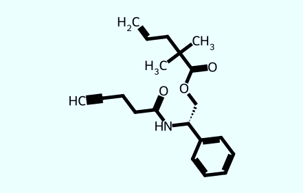 C#CCCC(=O)N[C@H](COC(=O)C(C)(C)CC=C)c1ccccc1